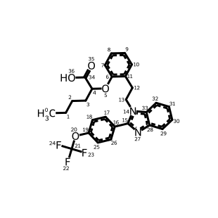 CCCCC(Oc1ccccc1CCn1c(-c2ccc(OC(F)(F)F)cc2)nc2ccccc21)C(=O)O